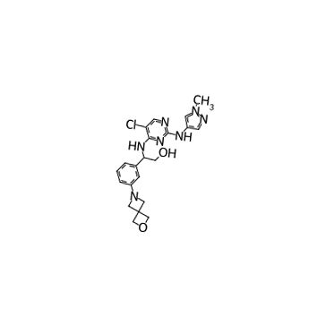 Cn1cc(Nc2ncc(Cl)c(NC(CO)c3cccc(N4CC5(COC5)C4)c3)n2)cn1